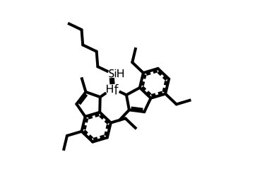 CCCCC[SiH]=[Hf]([CH]1C(C)=Cc2c(CC)ccc(CC)c21)[CH]1C(C)=Cc2c(CC)ccc(CC)c21